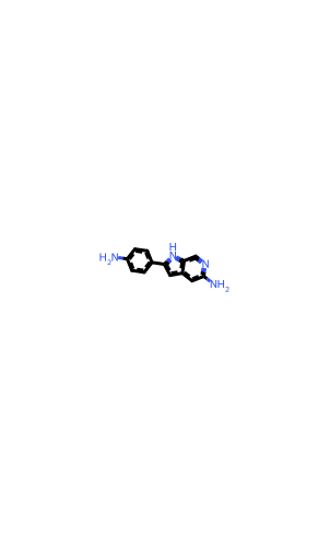 Nc1ccc(-c2cc3cc(N)ncc3[nH]2)cc1